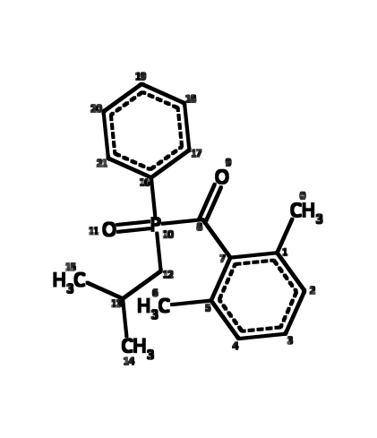 Cc1cccc(C)c1C(=O)P(=O)(CC(C)C)c1ccccc1